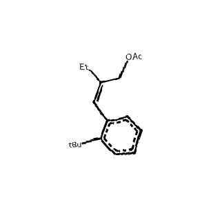 CCC(=Cc1ccccc1C(C)(C)C)COC(C)=O